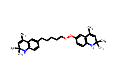 CC1=CC(C)(C)Nc2ccc(CCCCCOOc3ccc4c(c3)C(C)=CC(C)(C)N4)cc21